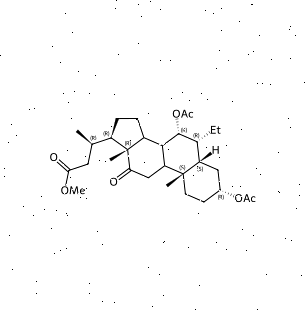 CC[C@H]1[C@@H](OC(C)=O)C2C3CC[C@H]([C@H](C)CC(=O)OC)[C@@]3(C)C(=O)CC2[C@@]2(C)CC[C@@H](OC(C)=O)C[C@@H]12